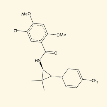 COc1cc(OC)c(C(=O)N[C@H]2[C@H](C3C=CC(C(F)(F)F)=CC3)C2(C)C)cc1Cl